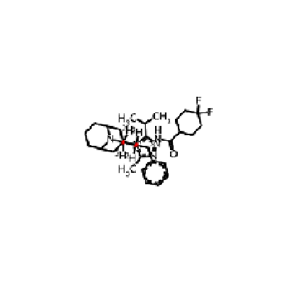 [2H]C([2H])([C@H](NC(=O)C1CCC(F)(F)CC1)c1ccccc1)C([2H])([2H])N1C2CCCC1CC(n1c(C)nnc1C(C)C)C2